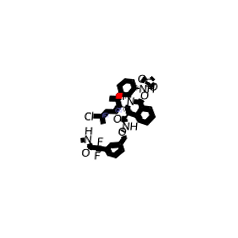 C=C(Cl)/C(=C\C=C(/C)Cl)[C@H]1[C@H](C(=O)NOCc2cccc(C(F)(F)C(=O)NC)c2)c2ccccc2C(=O)N1[C@H]1CCCC[C@@H]1NS(C)(=O)=O